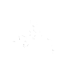 CN(C)C1CCN(Cc2cc3nc(-c4ccc(O)c5nccn45)nc(N4CCOCC4)c3s2)CC1